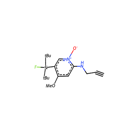 C#CCNc1cc(OC)c([Si](F)(C(C)(C)C)C(C)(C)C)c[n+]1[O-]